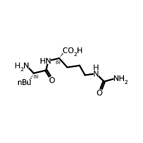 CCCC[C@H](N)C(=O)N[C@@H](CCCNC(N)=O)C(=O)O